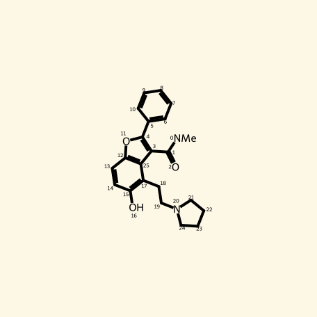 CNC(=O)c1c(-c2ccccc2)oc2ccc(O)c(CCN3CCCC3)c12